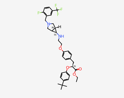 CCOC(=O)[C@H](Cc1ccc(OCCN[C@H]2C3CN(Cc4cc(C(F)(F)F)ccc4F)C[C@@H]32)cc1)Oc1ccc(C(C)(C)C)cc1